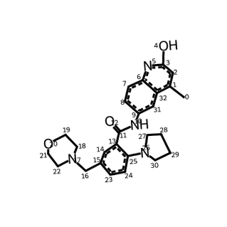 Cc1cc(O)nc2ccc(NC(=O)c3cc(CN4CCOCC4)ccc3N3CCCC3)cc12